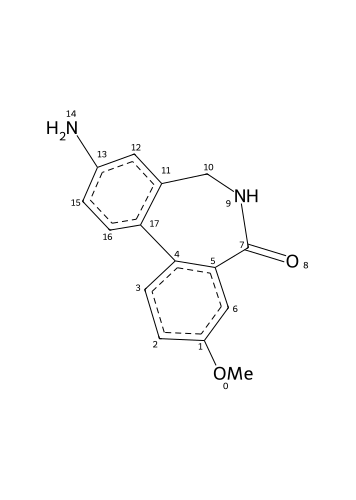 COc1ccc2c(c1)C(=O)NCc1cc(N)ccc1-2